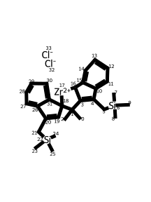 CC1(C)C2=C(C[Si](C)(C)C)c3ccccc3[CH]2[Zr+2][C]12C=C(C[Si](C)(C)C)c1ccccc12.[Cl-].[Cl-]